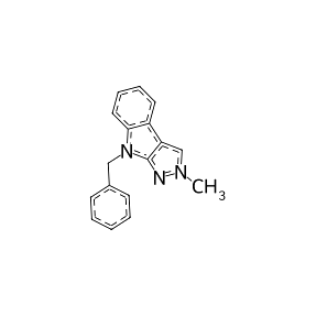 Cn1cc2c3ccccc3n(Cc3ccccc3)c2n1